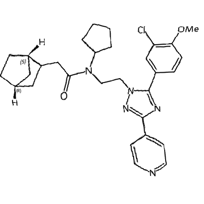 COc1ccc(-c2nc(-c3ccncc3)nn2CCN(C(=O)CC2C[C@@H]3CC[C@H]2C3)C2CCCC2)cc1Cl